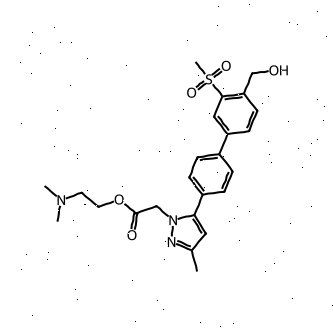 Cc1cc(-c2ccc(-c3ccc(CO)c(S(C)(=O)=O)c3)cc2)n(CC(=O)OCCN(C)C)n1